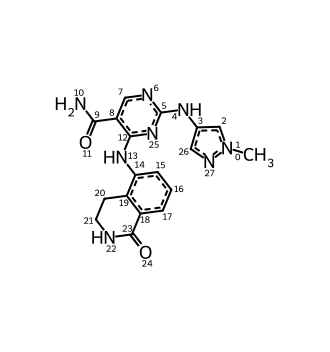 Cn1cc(Nc2ncc(C(N)=O)c(Nc3cccc4c3CCNC4=O)n2)cn1